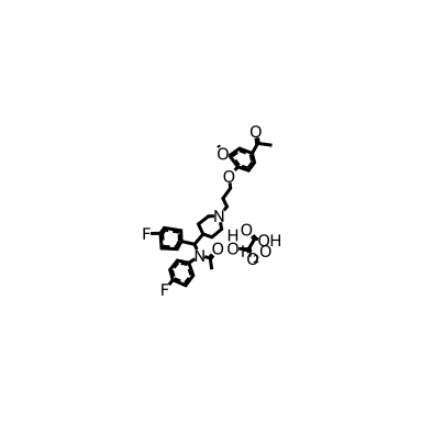 COc1cc(C(C)=O)ccc1OCCCN1CCC(C(c2ccc(F)cc2)N(C(C)=O)c2ccc(F)cc2)CC1.O.O=C(O)C(=O)O